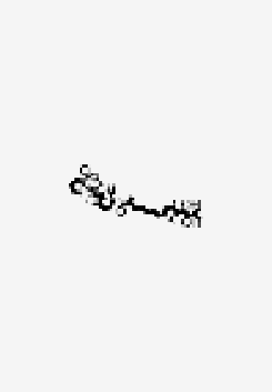 C=C(C)[C@@H](O)[C@@H](O)C(=O)[C@H](C)C[C@H](C)/C=C/C=C/C=C(\C)[C@H](C[C@@H]1CC[C@@H](C)[C@](O)(C(=O)C(=O)N2CCCC[C@H]2C(=O)OC)O1)OC